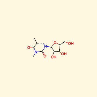 Cc1cn([C@H]2O[C@@H](CO)C(O)C2O)c(=O)n(C)c1=O